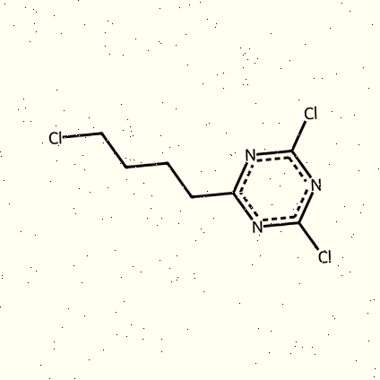 ClCCCCc1nc(Cl)nc(Cl)n1